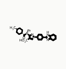 CC(C)N(c1nn(-c2ccc(-c3nc4ccccc4[nH]3)cc2)cc1C(=O)O)C(=O)[C@H]1CC[C@H](C)CC1